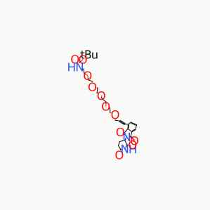 CC(C)(C)OC(=O)NCCOCCOCCOCCOCCOCC#Cc1cccc2c1C(=O)N(C1CCC(=O)NC1=O)C2=O